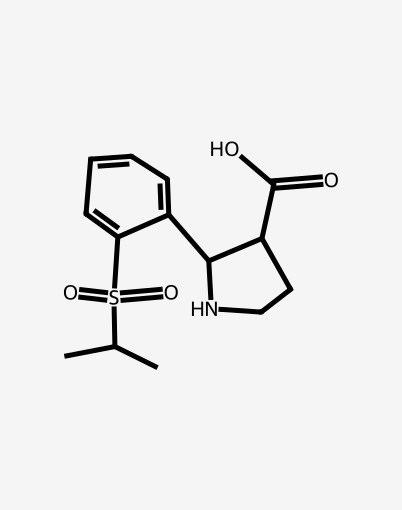 CC(C)S(=O)(=O)c1ccccc1C1NCCC1C(=O)O